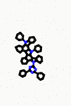 c1ccc(-c2nc(-c3ccccc3)nc(-n3c4ccccc4c4c3c3ccccc3c3c5c6ccccc6c6c(c7ccccc7n6-c6ccccc6)c5n(-c5ccccc5)c34)n2)cc1